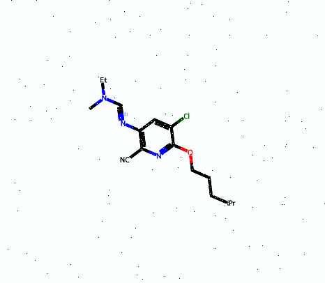 CCN(C)/C=N/c1cc(Cl)c(OCCCC(C)C)nc1C#N